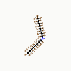 BrC(Br)(Br)C(Br)(Br)C(Br)(Br)C(Br)(Br)C(Br)(Br)C(Br)(Br)C(Br)(Br)C(Br)(Br)NC(Br)(Br)C(Br)(Br)C(Br)(Br)C(Br)(Br)C(Br)(Br)C(Br)(Br)C(Br)(Br)C(Br)(Br)Br